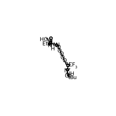 CCc1cnn2c(NCc3ccc(OCCOCCOCCOCCOCCCc4cc(-c5cnc([C@H](C)NC(=O)OC(C)(C)C)cc5C)cc(C(F)(F)F)n4)nc3)cc(N3CCCC[C@H]3CCO)nc12